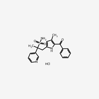 Cc1cc(CC(C)(c2cccnc2)S(N)(=O)=O)[nH]c1C(=O)c1ccccc1.Cl